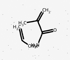 C=C(C)C(N)=O.C=COC